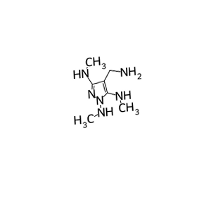 CNc1nn(NC)c(NC)c1CN